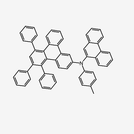 Cc1ccc(N(c2ccc3c(c2)c2ccccc2c2c(-c4ccccc4)cc(-c4ccccc4)c(-c4ccccc4)c32)c2cc3ccccc3c3ccccc23)cc1